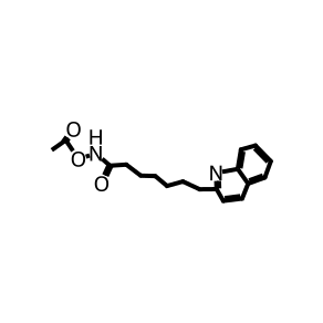 CC(=O)ONC(=O)CCCCCCc1ccc2ccccc2n1